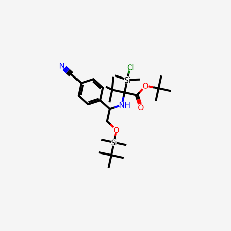 CC(C)(C)OC(=O)C(NC(CO[Si](C)(C)C(C)(C)C)c1ccc(C#N)cc1)(C(C)(C)C)[Si](C)(C)Cl